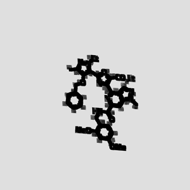 CCOC(=O)c1oc(-c2c(OCc3ccccc3)c(C)nn2CC)nc1-c1nc(C(=O)NCc2ccc(OC)cc2OC)cc2c1cnn2C